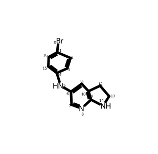 Brc1ccc(Nc2cnc3c(c2)CCN3)cc1